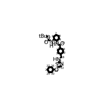 CC(C)(C)OC(=O)Nc1ccccc1NC(=O)c1ccc(CNc2ncc(Oc3ccccc3)s2)cc1